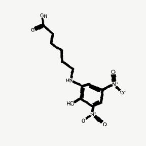 O=C(O)CCCCCNc1cc([N+](=O)[O-])cc([N+](=O)[O-])c1O